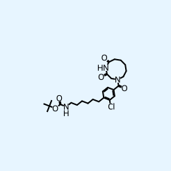 CC(C)(C)OC(=O)NCCCCCCc1ccc(C(=O)N2CCCCCC(=O)NC(=O)C2)cc1Cl